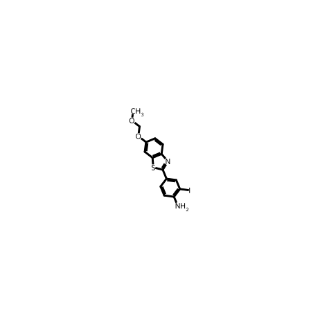 COCOc1ccc2nc(-c3ccc(N)c(I)c3)sc2c1